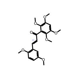 COc1ccc(OC)c(/C=C/C(=O)c2c(OC)c(OC)cc(OC)c2OC)c1